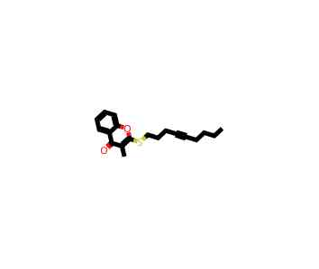 CCCCC#CCCCSc1oc2ccccc2c(=O)c1C